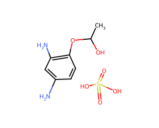 CC(O)Oc1ccc(N)cc1N.O=S(=O)(O)O